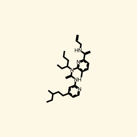 C=CCNC(=C)c1ccc(C)c(N(C(=C)Nc2cc(CCC(C)CC)ccn2)C(CC)CCC)n1